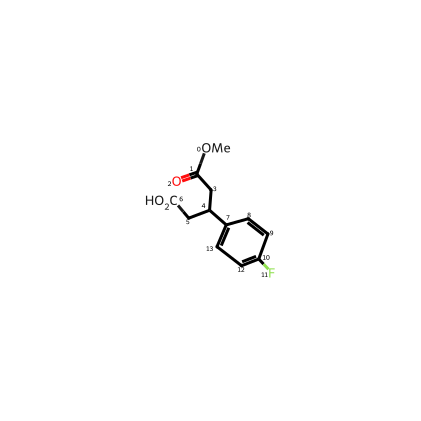 COC(=O)CC(CC(=O)O)c1ccc(F)cc1